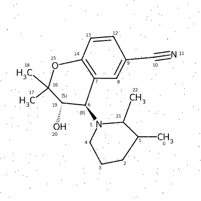 CC1CCCN([C@@H]2c3cc(C#N)ccc3OC(C)(C)[C@H]2O)C1C